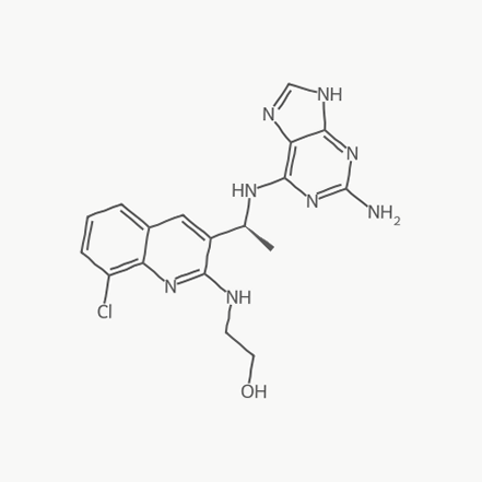 C[C@H](Nc1nc(N)nc2[nH]cnc12)c1cc2cccc(Cl)c2nc1NCCO